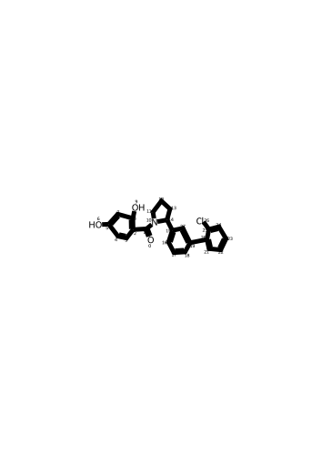 O=C(c1ccc(O)cc1O)N1CCCC1c1cccc(-c2ccccc2Cl)c1